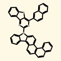 c1ccc2cc(-c3nc(-n4c5ccccc5c5c6ccc7ccc8ccccc8c7c6ccc54)nc4c3sc3ccccc34)ccc2c1